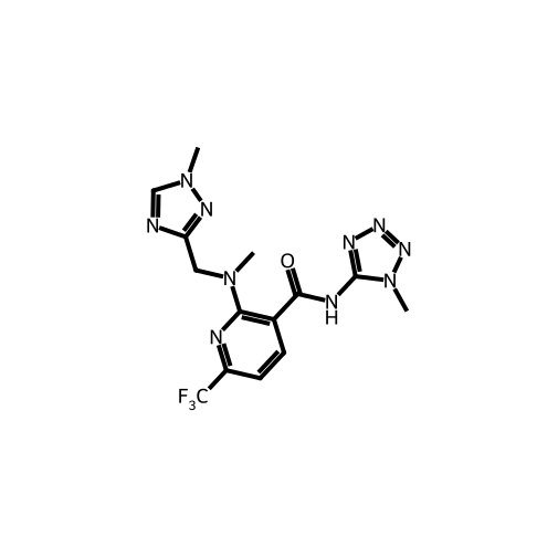 CN(Cc1ncn(C)n1)c1nc(C(F)(F)F)ccc1C(=O)Nc1nnnn1C